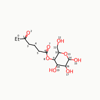 CCC(=O)CCCC(=O)OC1C(CO)OC(O)C(O)C1O